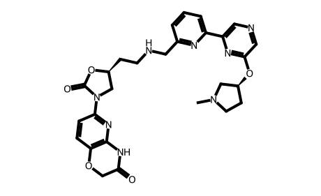 CN1CC[C@H](Oc2cncc(-c3cccc(CNCC[C@H]4CN(c5ccc6c(n5)NC(=O)CO6)C(=O)O4)n3)n2)C1